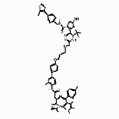 CC/C(C)=C(/C)C1=C(C)n2c(C)nnc2C(CC(=O)Nc2ccc(-c3ccc(OCCCOCC(=O)N[C@H](C(=O)N4CC(O)C[C@H]4C(=O)NCc4ccc(-c5[nH]cnc5C)cc4)C(C)(C)C)cc3)cc2C)N=C1c1ccc(C)cc1